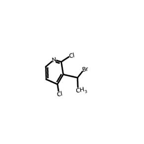 CC(Br)c1c(Cl)ccnc1Cl